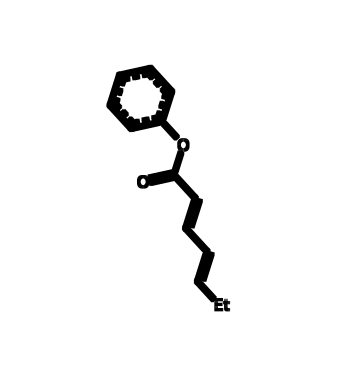 CCC=CC=CC(=O)Oc1ccccc1